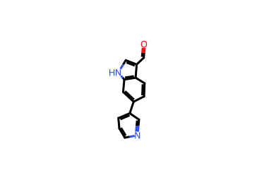 O=Cc1c[nH]c2cc(-c3cccnc3)ccc12